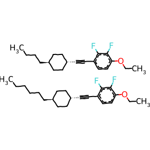 CCCCCC[C@H]1CC[C@H](C#Cc2ccc(OCC)c(F)c2F)CC1.CCCC[C@H]1CC[C@H](C#Cc2ccc(OCC)c(F)c2F)CC1